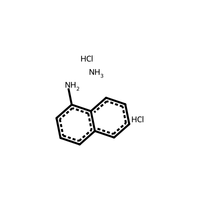 Cl.Cl.N.Nc1cccc2ccccc12